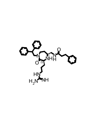 N=C(N)NCCC[C@@H]1N[C@H](CNC(=O)CCc2ccccc2)CCN(CC(c2ccccc2)c2ccccc2)C1=O